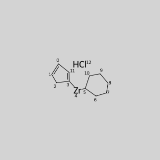 C1=CC[C]([Zr][CH]2CCCCC2)=C1.Cl